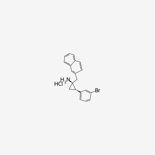 Cl.N[C@]1(Cc2ccc3ccccc3c2)C[C@@H]1c1cccc(Br)c1